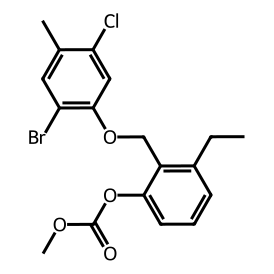 CCc1cccc(OC(=O)OC)c1COc1cc(Cl)c(C)cc1Br